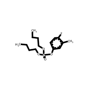 CCCCOP(=O)(OCCCC)Oc1ccc(F)c(C)c1